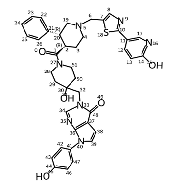 O=C([C@@H]1CCN(Cc2cnc(-c3ccc(O)nc3)s2)C[C@H]1c1ccccc1)N1CCC(O)(Cn2cnc3c(ccn3-c3ccc(O)cc3)c2=O)CC1